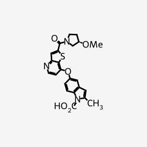 CO[C@@H]1CCN(C(=O)c2cc3nccc(Oc4ccc5c(c4)cc(C)n5C(=O)O)c3s2)C1